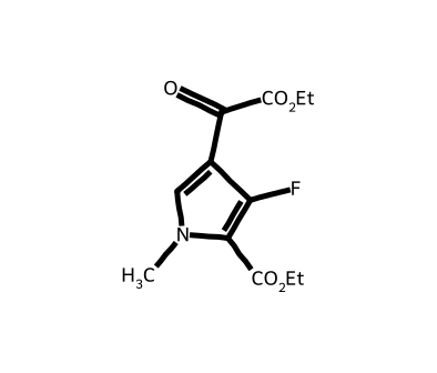 CCOC(=O)C(=O)c1cn(C)c(C(=O)OCC)c1F